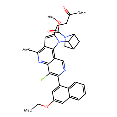 COCOc1cc(-c2ncc3c(nc(SC)c4cc(CCC(=O)OC)n(C5C6CC5N(C(=O)OC(C)(C)C)C6)c43)c2F)c2ccccc2c1